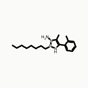 CCCCCCCCN1NC(c2ccccc2C)=C(C)N1N